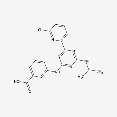 CC(C)Nc1nc(Nc2cccc(C(=O)O)c2)nc(-c2cccc(Cl)n2)n1